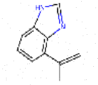 C=C(C)c1cccc2[nH]cnc12